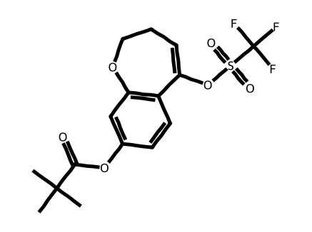 CC(C)(C)C(=O)Oc1ccc2c(c1)OCCC=C2OS(=O)(=O)C(F)(F)F